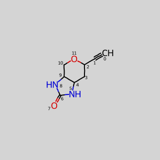 C#CC1CC2NC(=O)NC2CO1